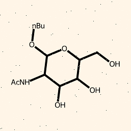 CCCCOC1OC(CO)C(O)C(O)C1NC(C)=O